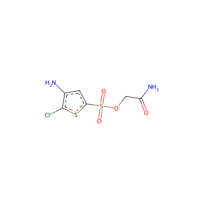 NC(=O)COS(=O)(=O)c1cc(N)c(Cl)s1